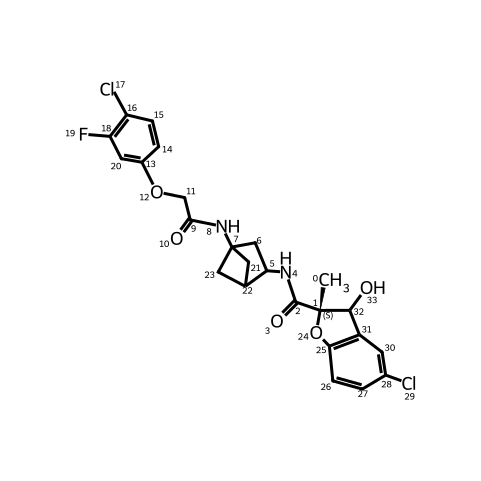 C[C@]1(C(=O)NC2CC3(NC(=O)COc4ccc(Cl)c(F)c4)CC2C3)Oc2ccc(Cl)cc2C1O